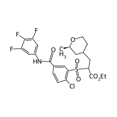 CCOC(=O)C(CC1CCO[C@H](C)C1)S(=O)(=O)c1cc(C(=O)Nc2cc(F)c(F)c(F)c2)ccc1Cl